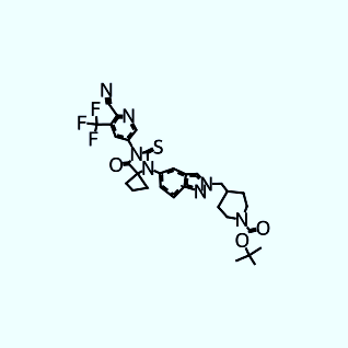 CC(C)(C)OC(=O)N1CCC(Cn2cc3cc(N4C(=S)N(c5cnc(C#N)c(C(F)(F)F)c5)C(=O)C45CCC5)ccc3n2)CC1